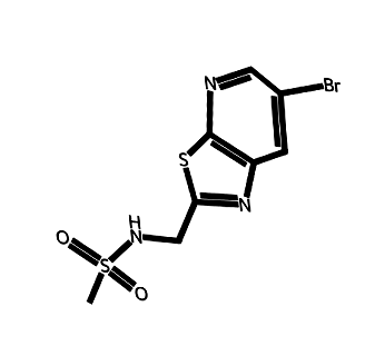 CS(=O)(=O)NCc1nc2cc(Br)cnc2s1